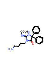 NCCCCN1C(=O)C(c2ccccc2)(c2ccccc2)NC1=NC(=O)O